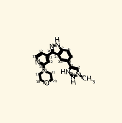 CN1C=C(c2ccc3[nH]nc(-c4ccnc(N5CCOCC5)c4)c3c2)NN1